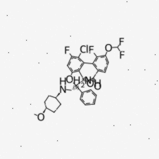 CO[C@H]1CC[C@@H](NC[C@]2(c3ccccc3)Oc3cc(F)c(Cl)c(-c4c(C(N)=O)ccc(OC(F)F)c4F)c3[C@@H]2O)CC1